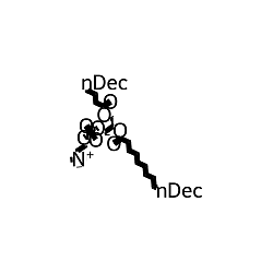 CCCCCCCCCCCCCCCCCCC(=O)O[C@H](COC(=O)CCCCCCCCCCCCC)COP(=O)([O-])OCC[N+](C)(C)C